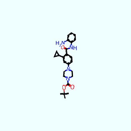 CC(C)(C)OC(=O)N1CCN(c2ccc(C(=O)Nc3ccccc3N)c(C3CC3)c2)CC1